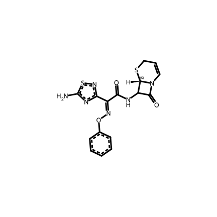 Nc1nc(C(=NOc2ccccc2)C(=O)NC2C(=O)N3C=CCS[C@@H]23)ns1